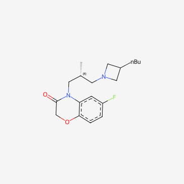 CCCCC1CN(C[C@@H](C)CN2C(=O)COc3ccc(F)cc32)C1